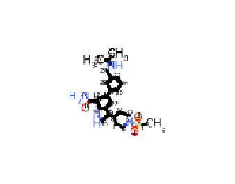 CCS(=O)(=O)N1CCC(c2c[nH]c3c(C(N)=O)cc(-c4cccc(CNC(C)C)c4)cc23)CC1